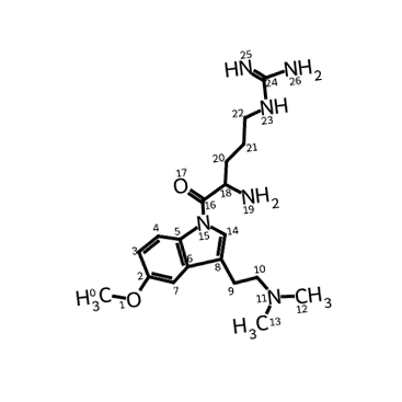 COc1ccc2c(c1)c(CCN(C)C)cn2C(=O)C(N)CCCNC(=N)N